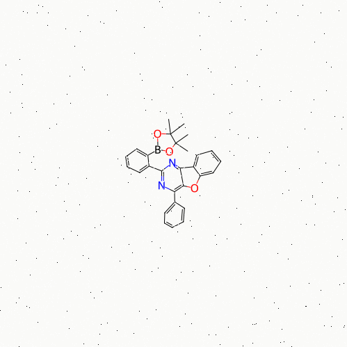 CC1(C)OB(c2ccccc2-c2nc(-c3ccccc3)c3oc4ccccc4c3n2)OC1(C)C